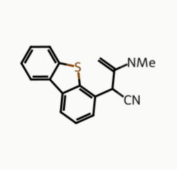 C=C(NC)C(C#N)c1cccc2c1sc1ccccc12